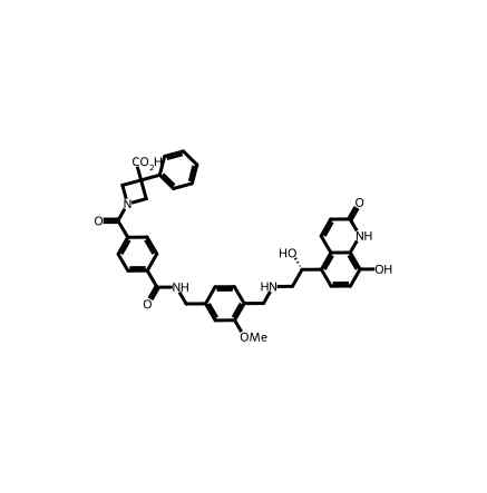 COc1cc(CNC(=O)c2ccc(C(=O)N3CC(C(=O)O)(c4ccccc4)C3)cc2)ccc1CNC[C@H](O)c1ccc(O)c2[nH]c(=O)ccc12